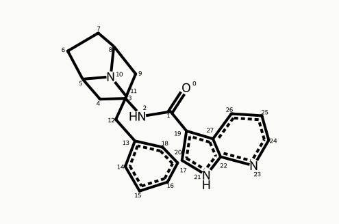 O=C(NC1CC2CCC(C1)N2CCc1ccccc1)c1c[nH]c2ncccc12